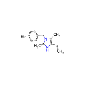 C=CC1=C(C)N(Cc2ccc(CC)cc2)C(=C)N1